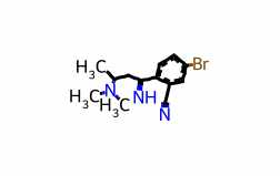 CC(CC(=N)c1ccc(Br)cc1C#N)N(C)C